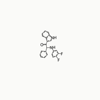 O=C(c1c[nH]c2ccccc12)C(Nc1ccc(F)c(F)c1)c1ccccc1